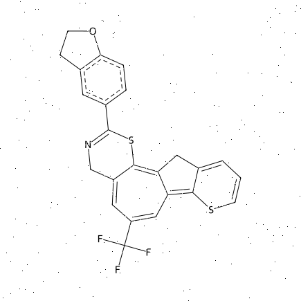 FC(F)(F)C1=CC2=C3SC=CC=C3CC2=C2SC(c3ccc4c(c3)CCO4)=NCC2=C1